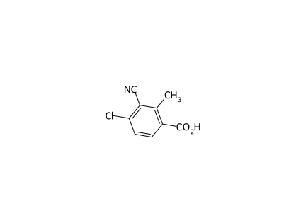 Cc1c(C(=O)O)ccc(Cl)c1C#N